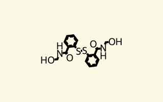 O=C(NCO)c1ccccc1SSc1ccccc1C(=O)NCO